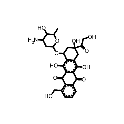 CC1OC(OC2CC(O)(C(=O)CO)Cc3c(O)c4c(c(O)c32)C(=O)c2c(CO)cccc2C4=O)CC(N)C1O